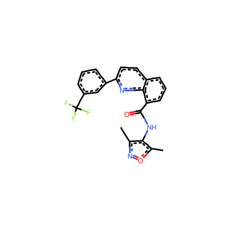 Cc1noc(C)c1NC(=O)c1cccc2ccc(-c3cccc(C(F)(F)F)c3)nc12